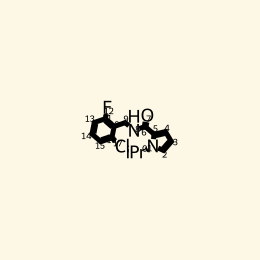 CC(C)n1cccc1C(=O)NCc1c(F)cccc1Cl